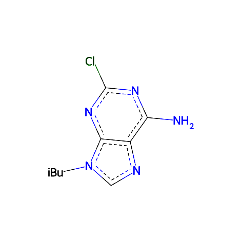 CCC(C)n1cnc2c(N)nc(Cl)nc21